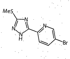 CSc1n[nH]c(-c2ccc(Br)cn2)n1